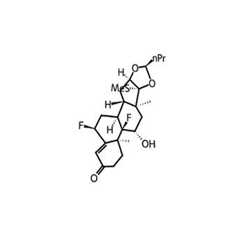 CCC[C@@H]1O[C@@H]2C[C@H]3[C@@H]4C[C@H](F)C5=CC(=O)CC[C@]5(C)[C@@]4(F)[C@@H](O)C[C@]3(C)[C@]2(SC)O1